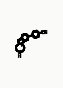 N#Cc1ccc(-c2ccc3cc4n(c3c2)CCNCC4)cc1